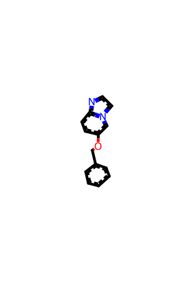 c1ccc(COc2ccc3nccn3c2)cc1